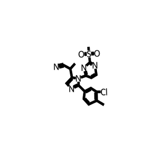 Cc1ccc(-c2ncc(C(C)C#N)n2-c2ccnc(S(C)(=O)=O)n2)cc1Cl